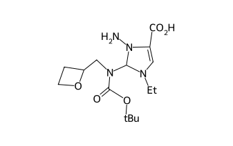 CCN1C=C(C(=O)O)N(N)C1N(CC1CCO1)C(=O)OC(C)(C)C